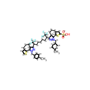 Cc1ccc(Cn2nc(C(CCCCCC(c3nn(Cc4ccc(C)cc4)c4c3CCCc3cc(S(=O)(=O)O)sc3-4)C(F)(F)F)C(F)(F)F)c3c2-c2sccc2CCC3)cc1